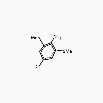 CSc1cc(Cl)cc(SC)c1N